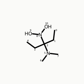 CCC(CC)(N(C)C)N(O)O